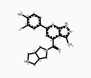 Cc1n[nH]c2nc(-c3ccc(O)c(F)c3)cc(C(=O)N3CC4CNCC4C3)c12